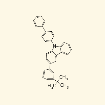 CC(C)(C)c1cccc(-c2ccc3c(c2)c2ccccc2n3-c2ccc(-c3ccccc3)cc2)c1